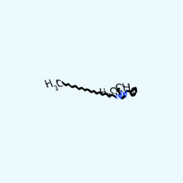 CCCCCCCCCCCCCCCCCCCN1C=CN(Cc2ccccc2)C1C(C)C